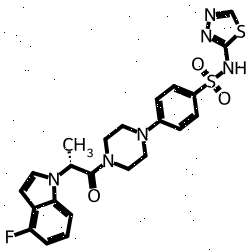 C[C@H](C(=O)N1CCN(c2ccc(S(=O)(=O)Nc3nncs3)cc2)CC1)n1ccc2c(F)cccc21